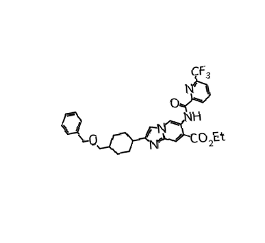 CCOC(=O)c1cc2nc(C3CCC(COCc4ccccc4)CC3)cn2cc1NC(=O)c1cccc(C(F)(F)F)n1